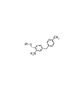 Cc1ccc(Cc2ccc(COC(C)C)c(N)c2)cc1